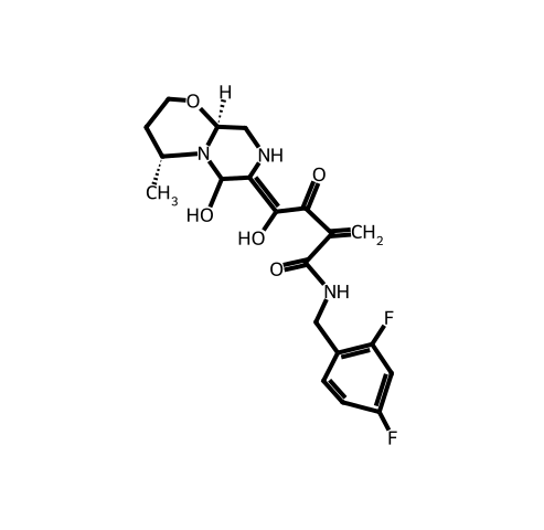 C=C(C(=O)NCc1ccc(F)cc1F)C(=O)/C(O)=C1\NC[C@@H]2OCC[C@@H](C)N2C1O